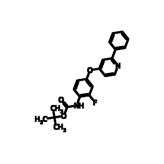 CC(C)(C)OC(=O)Nc1ccc(Oc2ccnc(-c3ccccc3)c2)cc1F